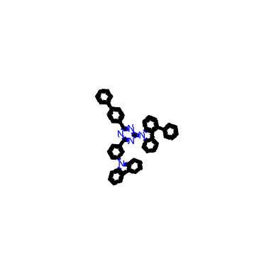 c1ccc(-c2ccc(-c3nc(-c4cccc(-n5c6ccccc6c6ccccc65)c4)nc(-n4c5ccccc5c5c(-c6ccccc6)cccc54)n3)cc2)cc1